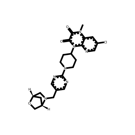 Cn1c(=O)c(=O)n(C2CCN(c3ncc(CN4C[C@@H]5C[C@H]4CO5)cn3)CC2)c2ncc(Cl)cc21